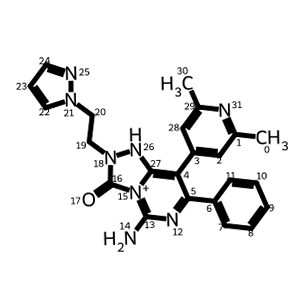 Cc1cc(-c2c(-c3ccccc3)nc(N)[n+]3c(=O)n(CCn4cccn4)[nH]c23)cc(C)n1